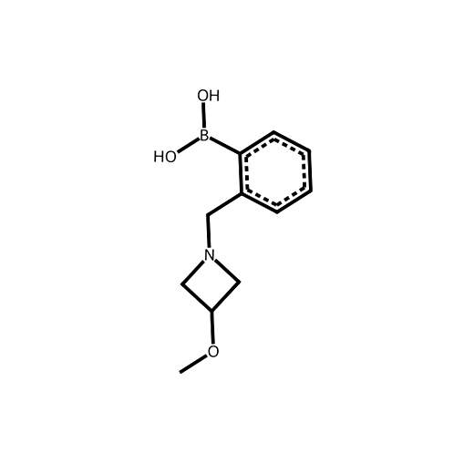 COC1CN(Cc2ccccc2B(O)O)C1